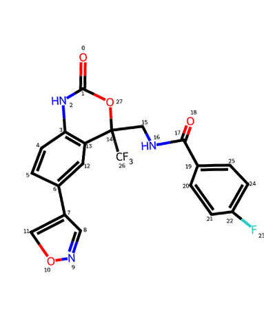 O=C1Nc2ccc(-c3cnoc3)cc2C(CNC(=O)c2ccc(F)cc2)(C(F)(F)F)O1